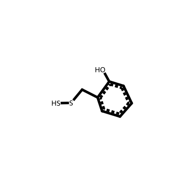 Oc1ccccc1CSS